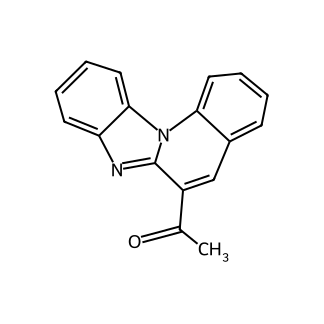 CC(=O)c1cc2ccccc2n2c1nc1ccccc12